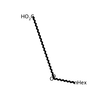 CCCCCCC=CCCCCCCCCCCCC(=O)OCCCCCCCCCCCCCCCCCCCCCCCCCCCCCCCCCCCCCCC(=O)O